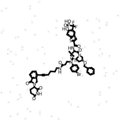 CC(C)(C)C(NC(=O)c1cc2cc(C(F)(F)P(=O)(O)O)ccc2s1)C(=O)N1C[C@@H](OCc2ccccc2)C[C@H]1C(=O)N(CCC(=O)NCCCCC#Cc1cccc2c1CN(C1CCC(=O)NC1=O)C2=O)c1ccc(Br)cc1